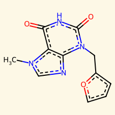 Cn1cnc2c1c(=O)[nH]c(=O)n2Cc1ccco1